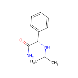 CC(C)N[C@H](C(N)=O)c1ccccc1